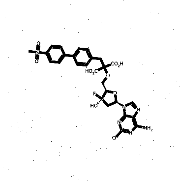 CS(=O)(=O)c1ccc(-c2ccc(CC(OC[C@H]3O[C@@H](n4cnc5c(N)nc(Cl)nc54)C[C@@]3(O)F)(C(=O)O)C(=O)O)cc2)cc1